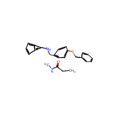 CCC(=O)NC.c1ccc(COc2ccc(CNc3c4cccc3-4)cc2)cc1